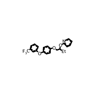 CCC(COc1ccc(Oc2cccc(C(F)(F)F)c2)cc1)Oc1ccccn1